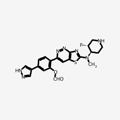 CN(c1nc2nnc(-c3ccc(-c4cn[nH]c4)cc3OC=O)cc2s1)[C@@H]1CCNC[C@H]1F